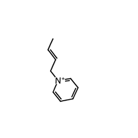 CC=CC[n+]1ccccc1